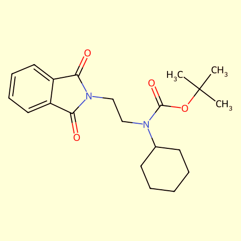 CC(C)(C)OC(=O)N(CCN1C(=O)c2ccccc2C1=O)C1CCCCC1